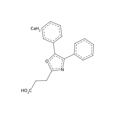 O=C(O)CCc1nc(-c2ccccc2)c(-c2ccccc2)o1.[CaH2]